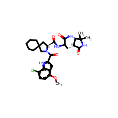 COc1ccc(Cl)c2[nH]c(C(=O)N3CC4(CCCCC4)C[C@H]3C(=O)NC(C[C@@H]3CC(C)(C)NC3=O)C(N)=O)cc12